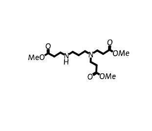 COC(=O)CCNCCCN(CCC(=O)OC)CCC(=O)OC